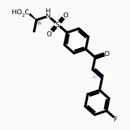 C[C@H](NS(=O)(=O)c1ccc(C(=O)/C=C/c2cccc(F)c2)cc1)C(=O)O